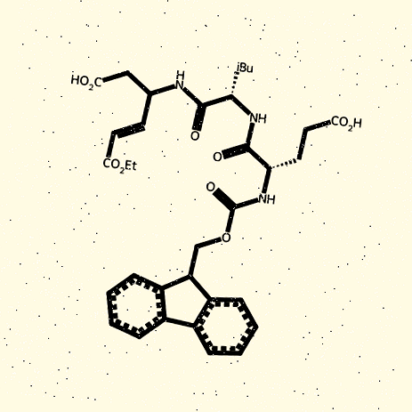 CCOC(=O)/C=C/C(CC(=O)O)NC(=O)[C@@H](NC(=O)[C@H](CCC(=O)O)NC(=O)OCC1c2ccccc2-c2ccccc21)C(C)CC